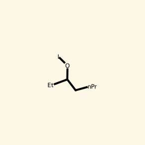 CCCCC(CC)OI